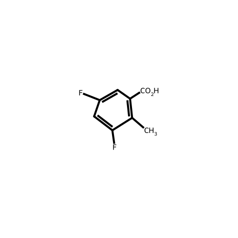 Cc1c(F)cc(F)cc1C(=O)O